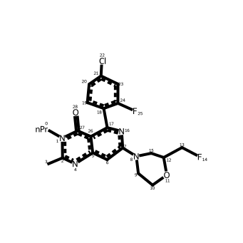 CCCn1c(C)nc2cc(N3CCOC(CF)C3)nc(-c3ccc(Cl)cc3F)c2c1=O